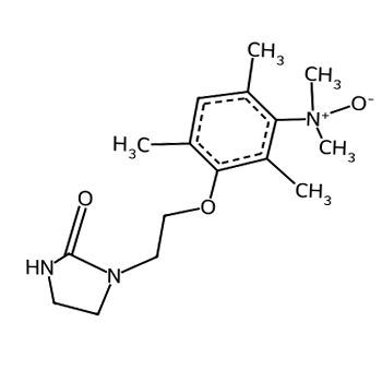 Cc1cc(C)c([N+](C)(C)[O-])c(C)c1OCCN1CCNC1=O